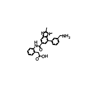 Cc1nc2cc(C(=O)Nc3ccccc3CC(=O)O)cc(-c3cccc(CN)c3)c2n1C